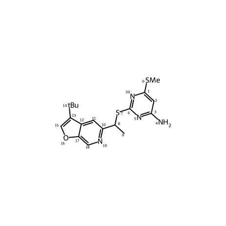 CSc1cc(N)nc(SC(C)c2cc3c(C(C)(C)C)coc3cn2)n1